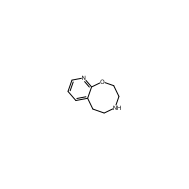 c1cnc2c(c1)CCNCCO2